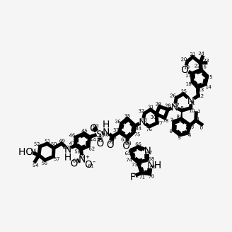 CC(C)c1ccccc1[C@@H]1CN(Cc2ccc3c(c2)OCCC3(C)C)CCN1C1CC2(CCN(c3ccc(C(=O)NS(=O)(=O)c4ccc(NCC5CCC(C)(O)CC5)c([N+](=O)[O-])c4)c(Oc4cnc5[nH]cc(F)c5c4)c3)CC2)C1